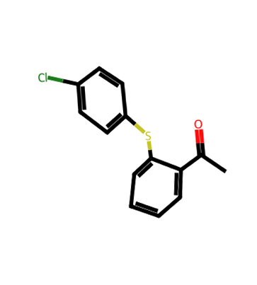 CC(=O)c1ccccc1Sc1ccc(Cl)cc1